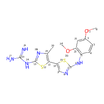 COc1ccc(Nc2ncc(-c3sc(NC(=N)N)nc3C)s2)c(OC)c1